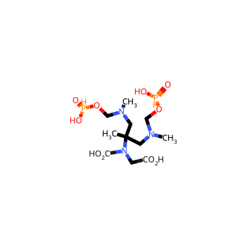 CN(CO[PH](=O)O)CC(C)(CN(C)CO[PH](=O)O)N(CC(=O)O)C(=O)O